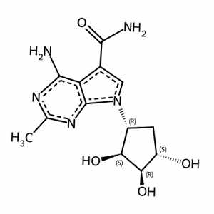 Cc1nc(N)c2c(C(N)=O)cn([C@@H]3C[C@H](O)[C@@H](O)[C@H]3O)c2n1